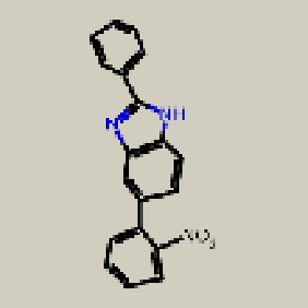 O=[N+]([O-])c1ccccc1-c1ccc2[nH]c(-c3ccccc3)nc2c1